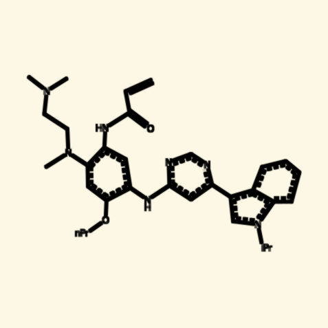 C=CC(=O)Nc1cc(Nc2cc(-c3cn(C(C)C)c4ccccc34)ncn2)c(OCCC)cc1N(C)CCN(C)C